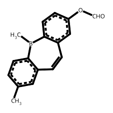 CB1c2ccc(C)cc2C=Cc2cc(OC=O)ccc21